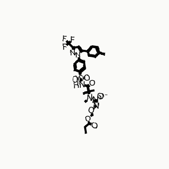 CCC(=O)OCO/N=[N+](/[O-])N(C)C(C)(C)C(=O)NS(=O)(=O)c1ccc(-n2nc(C(F)(F)F)cc2-c2ccc(C)cc2)cc1